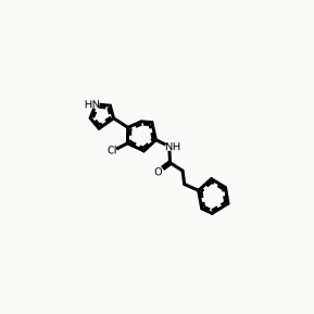 O=C(CCc1ccccc1)Nc1ccc(-c2cc[nH]c2)c(Cl)c1